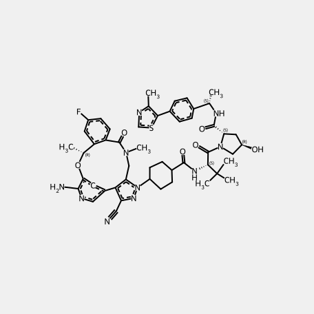 Cc1ncsc1-c1ccc([C@H](C)NC(=O)[C@@H]2C[C@@H](O)CN2C(=O)[C@@H](NC(=O)C2CCC(n3nc(C#N)c4c3CN(C)C(=O)c3ccc(F)cc3[C@@H](C)Oc3cc-4cnc3N)CC2)C(C)(C)C)cc1